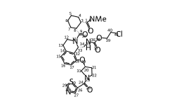 CNC(=O)[C@H]1CCCC[C@H]1C(=O)N1CCc2cccc(O[C@H]3CCN(C(=O)c4cncs4)C3)c2[C@H]1CNC(=O)OCCCl